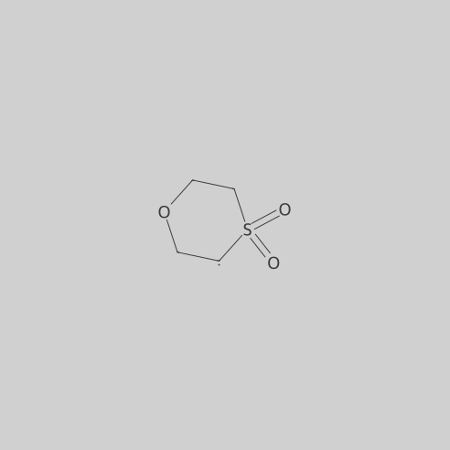 O=S1(=O)[CH]COCC1